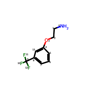 NCCOc1cccc(C(F)(F)F)c1